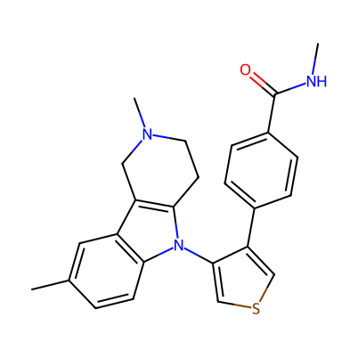 CNC(=O)c1ccc(-c2cscc2-n2c3c(c4cc(C)ccc42)CN(C)CC3)cc1